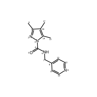 Cc1nn(C(=O)NCc2ccncc2)c(C)c1C